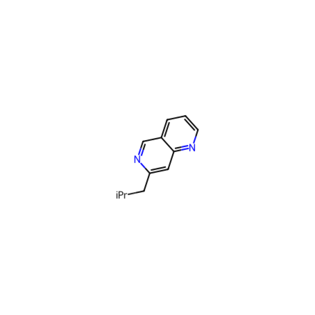 CC(C)Cc1cc2ncccc2cn1